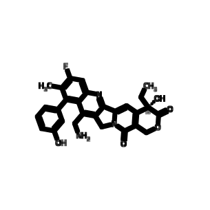 CC[C@@]1(O)C(=O)OCc2c1cc1n(c2=O)Cc2c-1nc1cc(F)c(C)c(-c3cccc(O)c3)c1c2CN